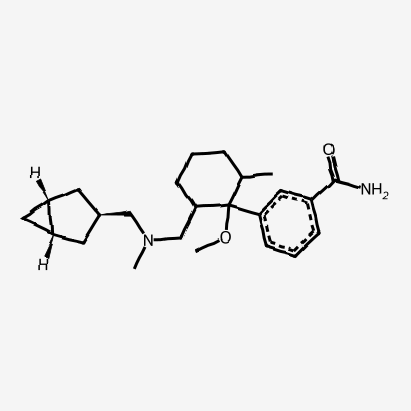 COC1(c2cccc(C(N)=O)c2)C(C)CCCC1CN(C)C[C@H]1C[C@@H]2C[C@@H]2C1